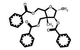 B[C@H]1OC(COC(=O)c2ccccc2)[C@@](C)(COC(=O)c2ccccc2)[C@@H]1OC(=O)c1ccccc1